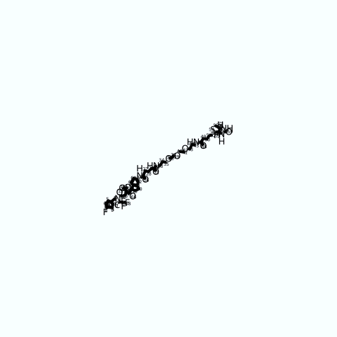 C[C@H](N(Cc1ccc(F)cc1)C(=O)CN1C(=O)OC2(CCc3cc(NC(=O)CCCC(=O)NCCCOCCOCCOCCCNC(=O)CCCC[C@@H]4SC[C@@H]5NC(=O)N[C@@H]54)ccc32)C1=O)C(F)(F)F